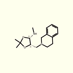 CN[C@H]1OC(C)(C)O[C@H]1CN1CCc2ccccc2C1